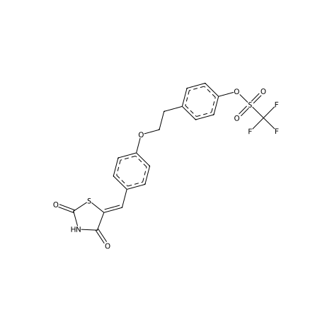 O=C1NC(=O)C(=Cc2ccc(OCCc3ccc(OS(=O)(=O)C(F)(F)F)cc3)cc2)S1